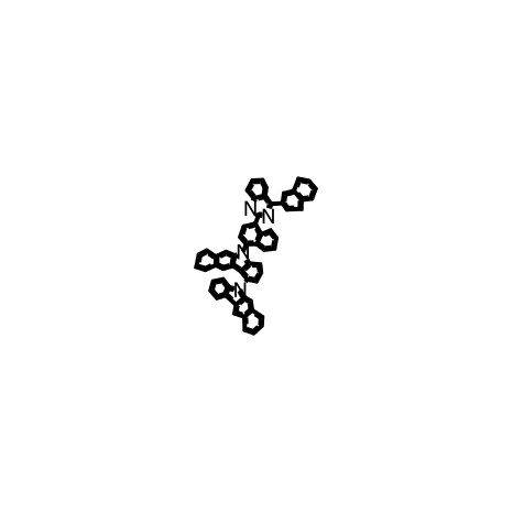 c1ccc2cc(-c3nc(-c4ccc(-n5c6cc7ccccc7cc6c6c(-n7c8ccccc8c8cc9ccccc9cc87)cccc65)c5ccccc45)nc4ccccc34)ccc2c1